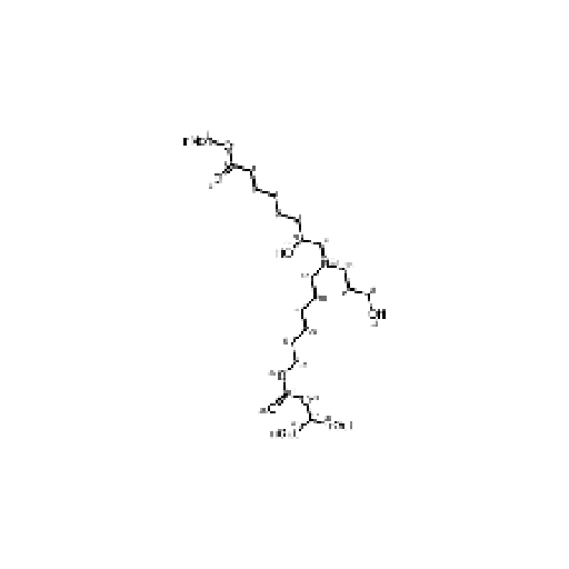 CCCCCCCCCOC(=O)CCCCCC(O)CN(CCCO)CCCCCCOC(=O)OC(CCCCCCCC)CCCCCCCC